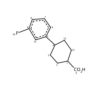 O=C(O)C1CCC(c2cccc(F)c2)CC1